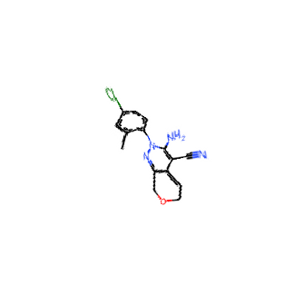 Cc1cc(Cl)ccc1N1N=C2COCC=C2C(C#N)=C1N